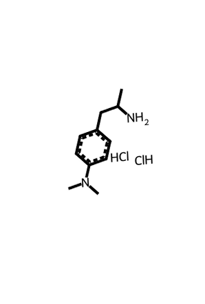 CC(N)Cc1ccc(N(C)C)cc1.Cl.Cl